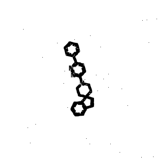 C1=CC2(CCN(c3ccc(-c4ccccc4)nn3)CC2)c2ccccc21